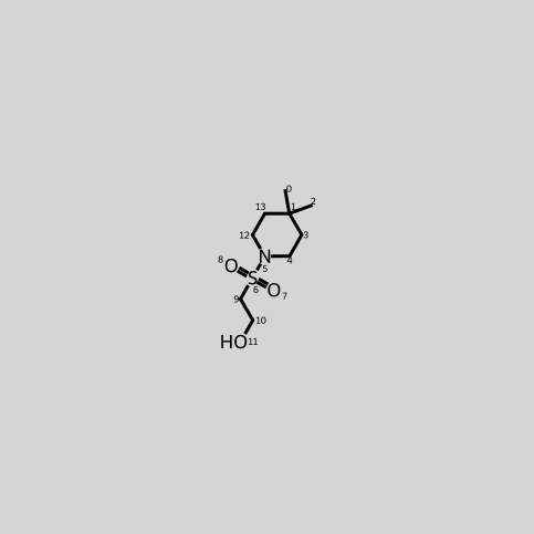 CC1(C)CCN(S(=O)(=O)CCO)CC1